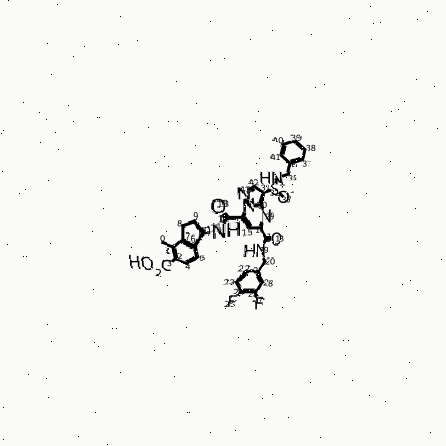 Cc1c(C(=O)O)ccc2c1CC[C@@H]2NC(=O)c1cc(C(=O)NCc2ccc(F)c(F)c2)nc2c([S+]([O-])NCc3ccccc3)cnn12